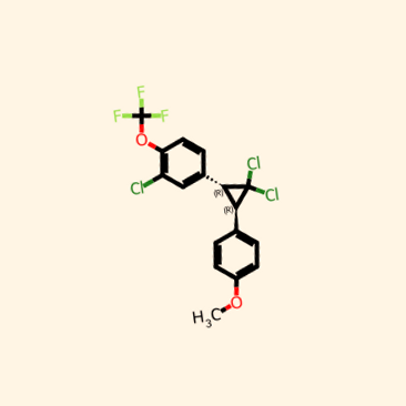 COc1ccc([C@H]2[C@H](c3ccc(OC(F)(F)F)c(Cl)c3)C2(Cl)Cl)cc1